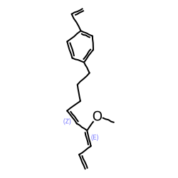 C=C/C=C(\C=C/CCCc1ccc(C=C)cc1)OC